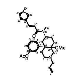 C=CCN1CC[C@@]2(c3cccc(OC(C)=O)c3)C[C@H](N(C)C(=O)/C=C/c3ccoc3)CC[C@]2(OC)C1